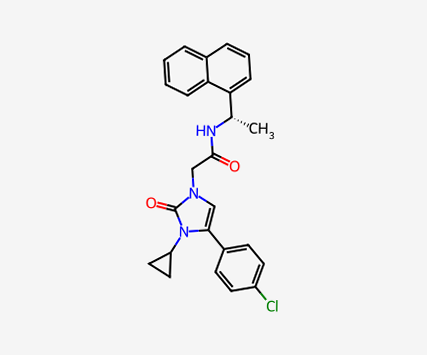 C[C@H](NC(=O)Cn1cc(-c2ccc(Cl)cc2)n(C2CC2)c1=O)c1cccc2ccccc12